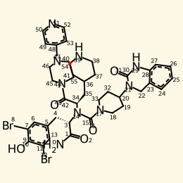 NC(=O)[C@H](Cc1cc(Br)c(O)c(Br)c1)N(C(=O)N1CCC(N2Cc3ccccc3NC2=O)CC1)[C@H](CC1CCNCC1)C(=O)N1CCN(c2ccncc2)CC1